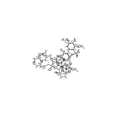 CC[C@@H](OS(=O)(=O)CC)C(=O)N1[C@@H]2CC[C@H]1[C@H]1[C@H](C)Oc3nc(-c4cc(N)c(F)c(C)c4C(F)(F)F)c(F)c4nc(OCC5(CN6CCOC[C@H]6C)CC5)nc(c34)N1C2